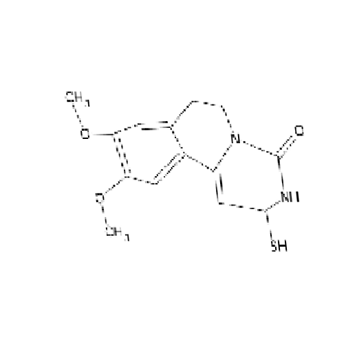 COc1cc2c(cc1OC)C1=CC(S)NC(=O)N1CC2